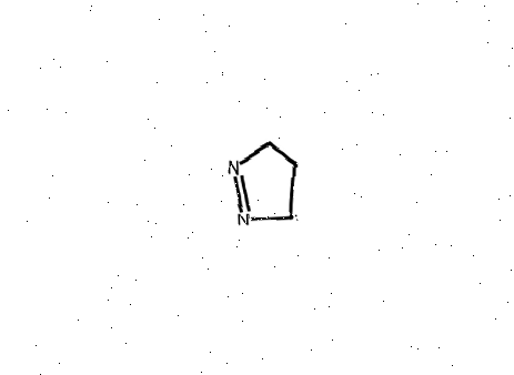 [C]1CCN=N1